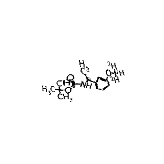 [2H]C([2H])([2H])Oc1cccc([C@@H](C)NC(=O)OC(C)(C)C)c1